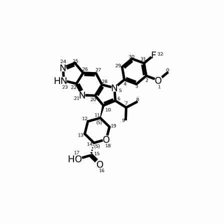 COc1cc(-n2c(C(C)C)c([C@@H]3CC[C@@H](C(=O)O)OC3)c3nc4[nH]ncc4cc32)ccc1F